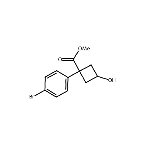 COC(=O)C1(c2ccc(Br)cc2)CC(O)C1